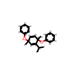 CC(C)C1=CC(C)(Oc2ccccc2)C=CC1(C)Oc1ccccc1